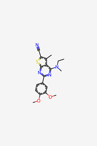 CCN(C)c1nc(-c2ccc(OC)c(OC)c2)nc2sc(C#N)c(C)c12